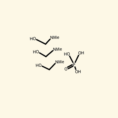 CNCO.CNCO.CNCO.O=P(O)(O)O